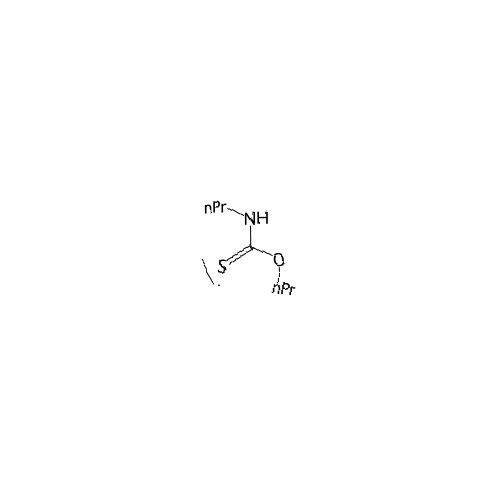 CCCNC(=S)OCCC.[CH2]C